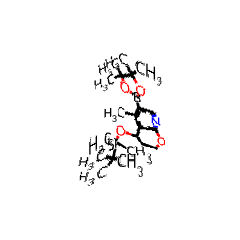 Cc1c(B2OC(C)(C)C(C)(C)O2)cnc2c1C(O[Si](C)(C)C(C)(C)C)CCO2